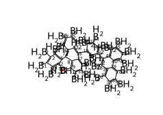 Bc1c(B)c(B)c(-c2c3c(B)c(B)c(B)c(B)c3c(-c3c(B)c(B)c(B)c(-c4c(B)c5c(B)c(B)c(B)c(B)c5c5c(B)c(B)c(B)c(B)c45)c3B)c3c(B)c(B)c(B)c(B)c23)c(B)c1B